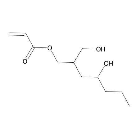 C=CC(=O)OCC(CO)CC(O)CCC